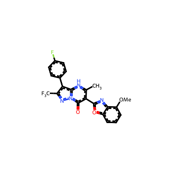 COc1cccc2oc(-c3c(C)[nH]c4c(-c5ccc(F)cc5)c(C(F)(F)F)nn4c3=O)nc12